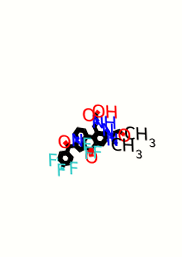 COCc1nc2c(CNC(=O)O)c(-c3cccn4c(C(=O)c5cc(F)c(F)c(F)c5)cc(C=O)c34)c(C(F)(F)F)cc2n1C